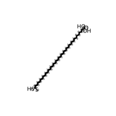 O=P(O)(O)CCCCCCCCCCCCCCCCCCCCCCCCCCCCCCCCCCCCCC(=S)S